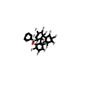 FB(c1ccccc1)C1(F)C(F)=C(F)C(F)C(F)(c2c(F)c(F)c(F)c(F)c2F)C1(F)c1c(F)c(F)c(F)c(F)c1F